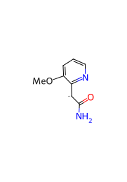 COc1cccnc1[CH]C(N)=O